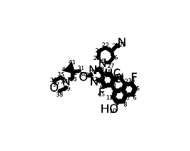 C#Cc1c(F)ccc2cc(O)cc(-c3c(Cl)cc4c(N5CCCC(C#N)CC5)nc(OCC5(CN6CCOCC6)CC5)nc4c3F)c12